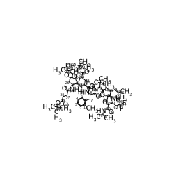 Cc1ccccc1C[C@H](NC(=O)[C@H](CCC(=O)OC(C)(C)C)NC(=O)[C@H](CC(=O)OC(C)(C)C)NC(=O)CCC(=O)OC(C)(C)C)C(=O)N[C@H](C(=O)N[C@@H](CC(C)C)C(=O)NC(CC(F)(F)F)C(=O)C(=O)NC(C)C)C(C)(C)C